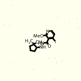 COc1nccc(I)c1C(=O)NNC1CCCC1(C)C